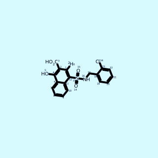 [2H]c1c(C(=O)O)c(O)c2ccccc2c1S(=O)(=O)NCc1ccccc1Cl